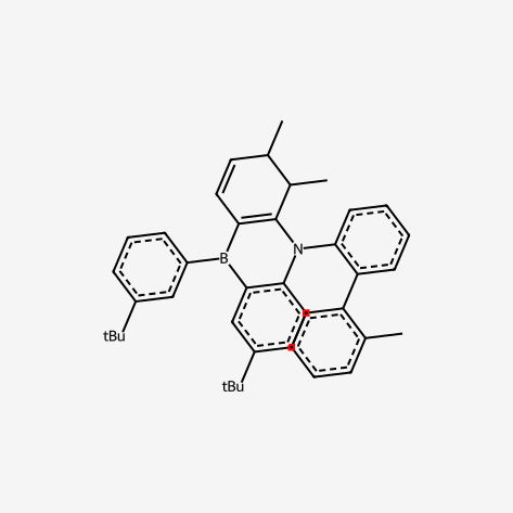 Cc1ccccc1-c1ccccc1N1C2=C(C=CC(C)C2C)B(c2cccc(C(C)(C)C)c2)c2cc(C(C)(C)C)ccc21